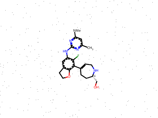 CNc1cc(C)nc(Nc2cc3c(c(C4=CCN[C@H](CO)CC4)c2F)OCC3)n1